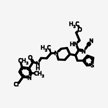 COCCN/C(=N\C#N)C(Cc1ccsc1)C1CCN([C@H](C)CCNC(=O)c2c(C)cc(Cl)nc2C)CC1